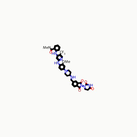 CNC(=O)c1ccccc1Nc1cc(Nc2ccc(N3CCC(NCc4ccc5c(c4)C(=O)N(N4CCC(=O)NC4=O)C5=O)CC3)cc2OC)ncc1C(F)(F)F